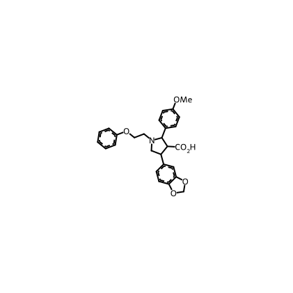 COc1ccc(C2C(C(=O)O)C(c3ccc4c(c3)OCO4)CN2CCOc2ccccc2)cc1